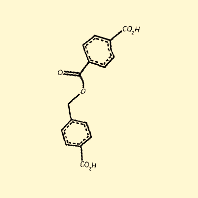 O=C(O)c1ccc(COC(=O)c2ccc(C(=O)O)cc2)cc1